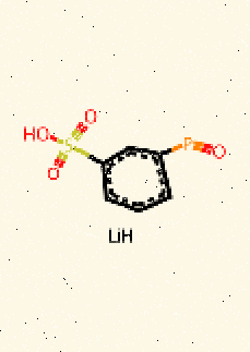 O=Pc1cccc(S(=O)(=O)O)c1.[LiH]